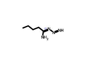 CCCC/C(N)=N/N=N